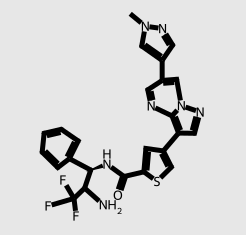 Cn1cc(-c2cnc3c(-c4csc(C(=O)N[C@H](c5ccccc5)C(N)C(F)(F)F)c4)cnn3c2)cn1